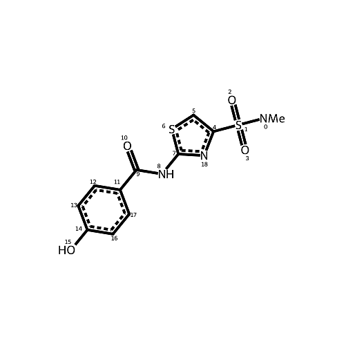 CNS(=O)(=O)c1csc(NC(=O)c2ccc(O)cc2)n1